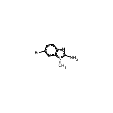 Cn1c(N)nc2ccc(Br)cc21